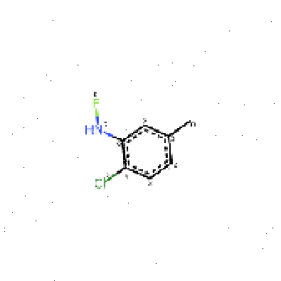 Cc1ccc(Cl)c(NF)c1